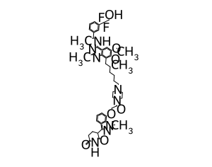 COc1cc2c(NC(C)c3cccc(C(F)(F)CO)c3)nc(C)nc2c(CCCCCCN2CCN(C(=O)COc3cccc4c(C5CCC(=O)NC5=O)nn(C)c34)CC2)c1OC